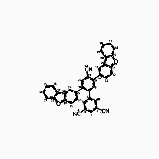 N#Cc1cc(C#N)cc(-c2cc(-c3ccc4oc5ccccc5c4c3)c(C#N)cc2-c2ccc3oc4ccccc4c3c2)c1